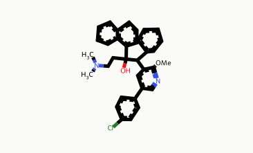 COc1ncc(-c2ccc(Cl)cc2)cc1C(c1ccccc1)C(O)(CCN(C)C)c1cccc2ccccc12